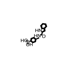 O=C(NCc1ccc(B(O)O)cc1)c1cc2ccccc2[nH]1